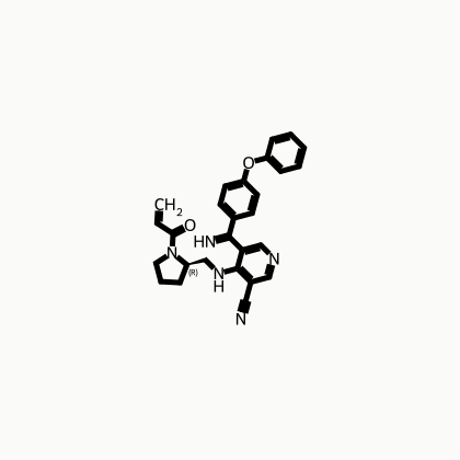 C=CC(=O)N1CCC[C@@H]1CNc1c(C#N)cncc1C(=N)c1ccc(Oc2ccccc2)cc1